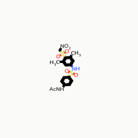 CC(=O)Nc1ccc(S(=O)(=O)Nc2cc(C)c(S(=O)(=O)C[N+](=O)[O-])c(C)c2)cc1